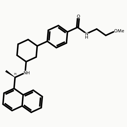 COCCNC(=O)c1ccc(C2CCCC(N[C@H](C)c3cccc4ccccc34)C2)cc1